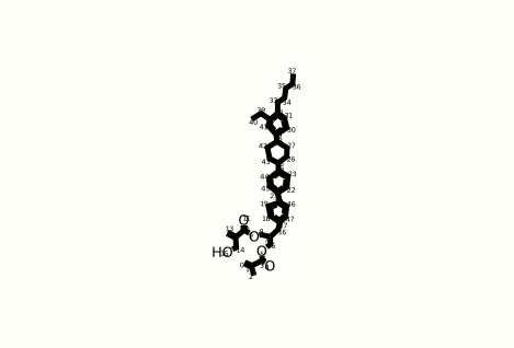 C=C(C)C(=O)OCC(COC(=O)C(=C)CO)Cc1ccc(-c2ccc(C3CCC(c4ccc(CCCCC)c(CC)c4)CC3)cc2)cc1